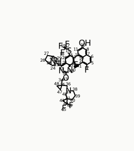 C#Cc1c(F)ccc2cc(O)cc(-c3c(SC(F)(F)F)cc4c(N5CC6CCC(C5)N6)nc(OCC5(CN6CCCC7(C6)CC7(F)F)CC5)nc4c3F)c12